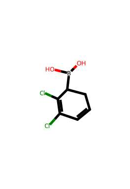 OB(O)C1CC=CC(Cl)=C1Cl